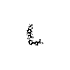 C[C@]1(C(=O)Nc2cccc(-c3cc(C(=O)O)cs3)n2)COc2cc3c(cc21)OC(F)(F)O3